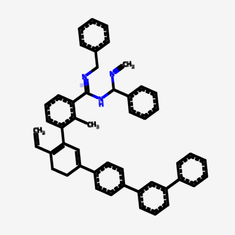 C=CC1=C(c2cccc(/C(=N/Cc3ccccc3)NC(N=C)c3ccccc3)c2C)C=C(c2ccc(-c3cccc(-c4ccccc4)c3)cc2)CC1